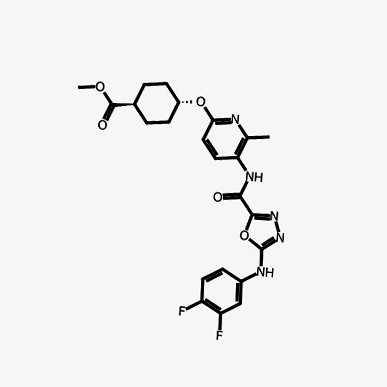 COC(=O)[C@H]1CC[C@H](Oc2ccc(NC(=O)c3nnc(Nc4ccc(F)c(F)c4)o3)c(C)n2)CC1